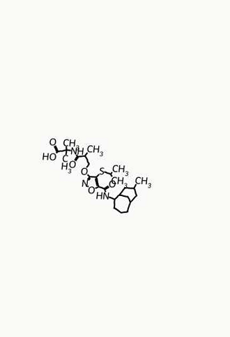 CC1CC2CCCC(NC(=O)c3onc(OCC(C)C(=O)NC(C)(C)C(=O)O)c3SC(C)C)C(C1)C2